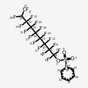 O=S(=O)(OC(F)(F)C(F)(F)C(F)(F)C(F)(F)C(F)(F)C(F)(F)C(F)(F)C(F)C(F)(F)F)[n+]1ccccc1